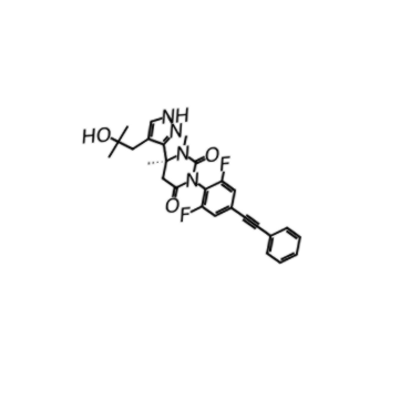 CN1C(=O)N(c2c(F)cc(C#Cc3ccccc3)cc2F)C(=O)C[C@@]1(C)c1n[nH]cc1CC(C)(C)O